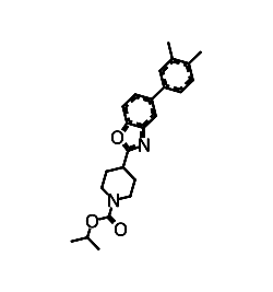 Cc1ccc(-c2ccc3oc(C4CCN(C(=O)OC(C)C)CC4)nc3c2)cc1C